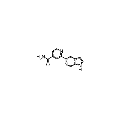 NC(=O)c1ccnc(-c2cc3cc[nH]c3cn2)c1